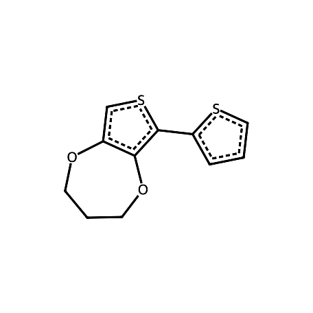 c1csc(-c2scc3c2OCCCO3)c1